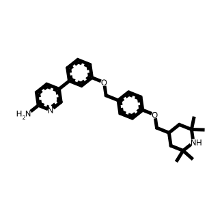 CC1(C)CC(COc2ccc(COc3cccc(-c4ccc(N)nc4)c3)cc2)CC(C)(C)N1